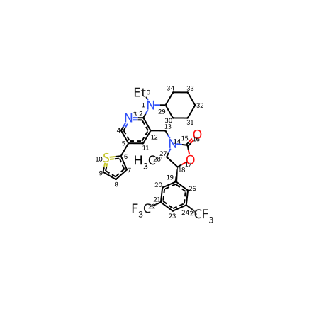 CCN(c1ncc(-c2cccs2)cc1CN1C(=O)O[C@@H](c2cc(C(F)(F)F)cc(C(F)(F)F)c2)[C@@H]1C)C1CCCCC1